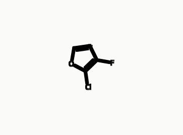 Fc1[c]coc1Cl